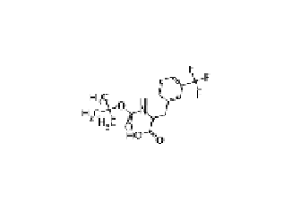 CC(C)(C)OC(=O)NC(Cc1cccc(C(F)(F)F)c1)C(=O)O